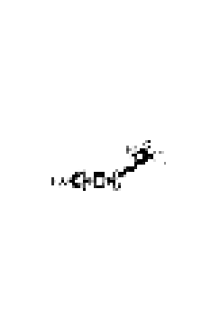 O=C(OCC=Cc1cc(C(F)(F)F)c(=O)[nH]n1)N1CCN(c2ncc(C(F)(F)F)cn2)CC1